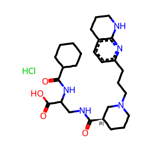 Cl.O=C(NC(CNC(=O)[C@@H]1CCCN(CCCc2ccc3c(n2)NCCC3)C1)C(=O)O)C1CCCCC1